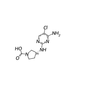 Nc1nc(N[C@@H]2CCN(C(=O)O)C2)ncc1Cl